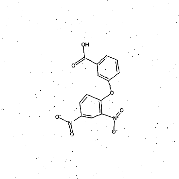 O=C(O)c1cccc(Oc2ccc([N+](=O)[O-])cc2[N+](=O)[O-])c1